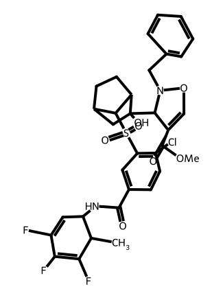 COC(=O)C1=CON(Cc2ccccc2)C1C1(O)CC2CCC1C2S(=O)(=O)c1cc(C(=O)NC2C=C(F)C(F)=C(F)C2C)ccc1Cl